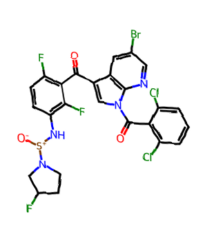 O=C(c1c(F)ccc(N[S+]([O-])N2CCC(F)C2)c1F)c1cn(C(=O)c2c(Cl)cccc2Cl)c2ncc(Br)cc12